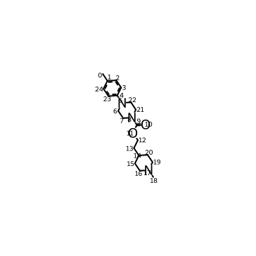 Cc1ccc(N2CCN(C(=O)OCCC3CCN(C)CC3)CC2)cc1